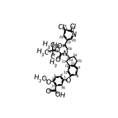 COc1ccc(Oc2ccc3c(c2)C[C@@H](N(C[C@H](O)c2cnc(Cl)c(Cl)c2)C(=O)OC(C)(C)C)CC3)cc1C(=O)O